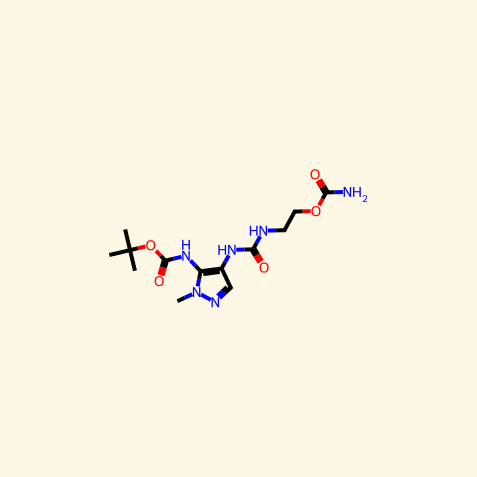 Cn1ncc(NC(=O)NCCOC(N)=O)c1NC(=O)OC(C)(C)C